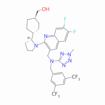 Cn1nnc(N(Cc2cc(C(F)(F)F)cc(C(F)(F)F)c2)Cc2cc3cc(F)c(F)cc3nc2N2CCC[C@@H]2[C@H]2CC[C@H](CO)CC2)n1